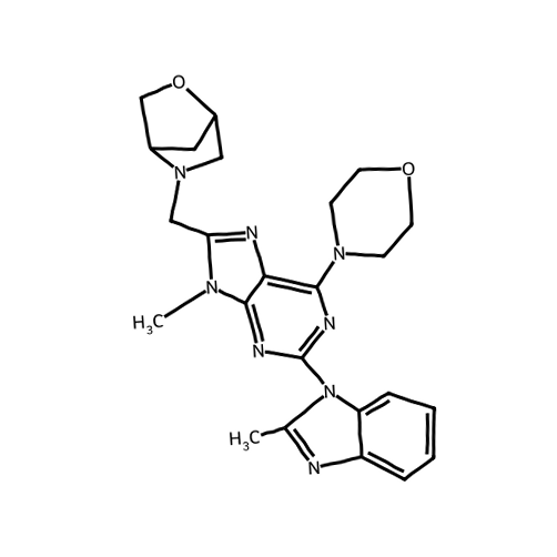 Cc1nc2ccccc2n1-c1nc(N2CCOCC2)c2nc(CN3CC4CC3CO4)n(C)c2n1